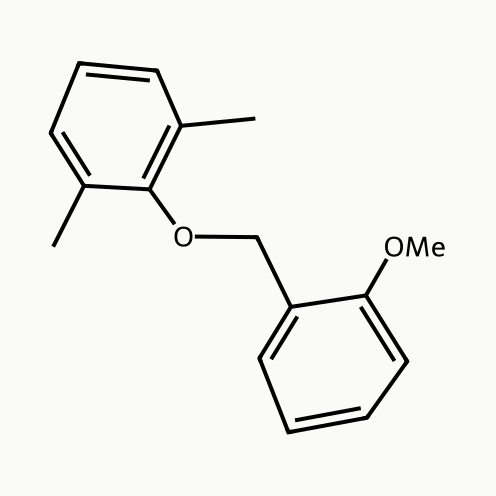 COc1ccccc1COc1c(C)cccc1C